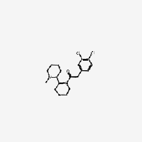 CN1CCCCC1C1CCCCN1C(=O)Cc1ccc(Cl)c(Cl)c1